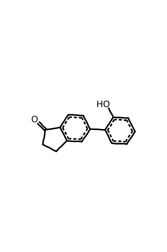 O=C1CCc2cc(-c3ccccc3O)ccc21